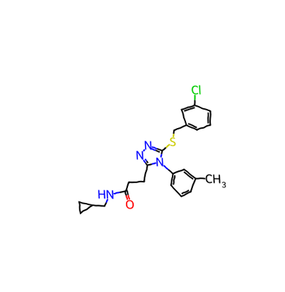 Cc1cccc(-n2c(CCC(=O)NCC3CC3)nnc2SCc2cccc(Cl)c2)c1